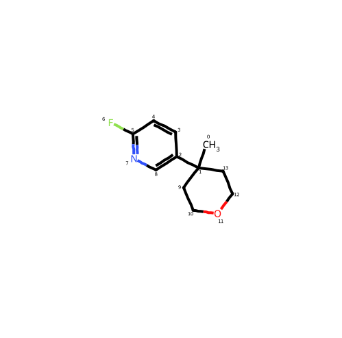 CC1(c2ccc(F)nc2)CCOCC1